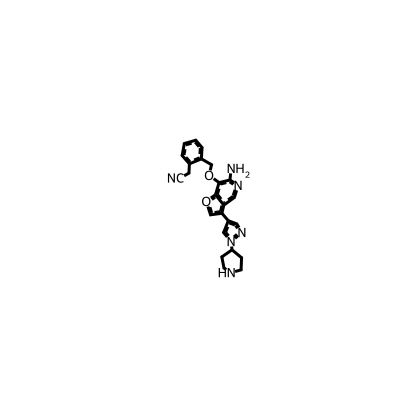 N#CCc1ccccc1COc1c(N)ncc2c(-c3cnn(C4CCNCC4)c3)coc12